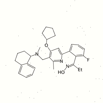 CCC(=NO)c1c(F)cccc1-c1cc(OC2CCCC2)c(CN(C)C2CCCc3ccccc32)c(C)n1